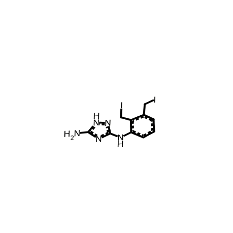 Nc1nc(Nc2cccc(CI)c2CI)n[nH]1